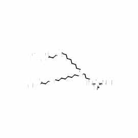 CCCCCC(CCCCC)CCOC(=O)CCCCCCCN(CCCCCCCCOCCC(CCCC)CCCC)CCCNc1noc(N)n1